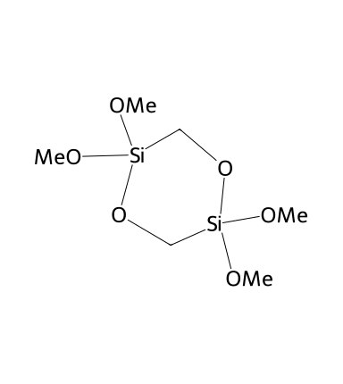 CO[Si]1(OC)CO[Si](OC)(OC)CO1